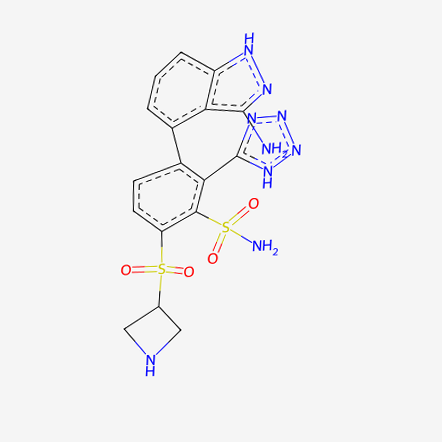 Nc1n[nH]c2cccc(-c3ccc(S(=O)(=O)C4CNC4)c(S(N)(=O)=O)c3-c3nnn[nH]3)c12